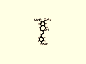 CNc1ccc(CCC2CCc3cc(OC)c(OC)cc3CN2)cc1